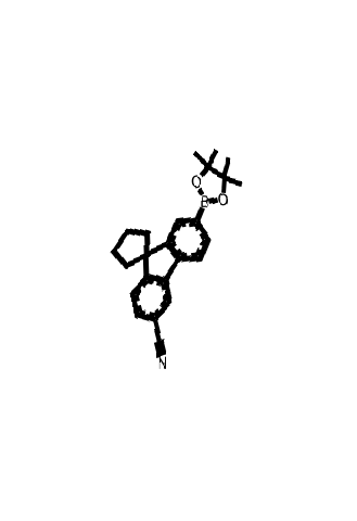 CC1(C)OB(c2ccc3c(c2)C2(CCCC2)c2ccc(C#N)cc2-3)OC1(C)C